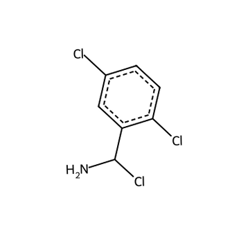 NC(Cl)c1cc(Cl)ccc1Cl